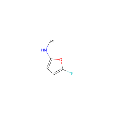 CC(C)Nc1ccc(F)o1